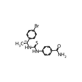 C[C@H](NC(=S)Nc1ccc(C(N)=O)cc1)c1ccc(Br)cc1